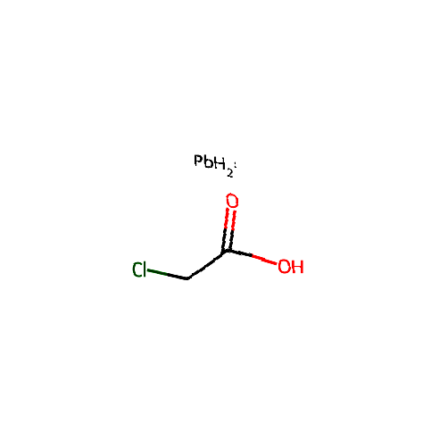 O=C(O)CCl.[PbH2]